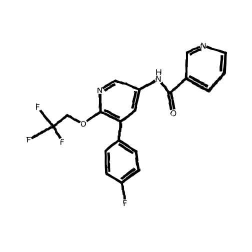 O=C(Nc1cnc(OCC(F)(F)F)c(-c2ccc(F)cc2)c1)c1cccnc1